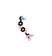 O=C1NCC(COc2ccc(Oc3ccc(-c4ccn[nH]4)cc3)cc2)O1